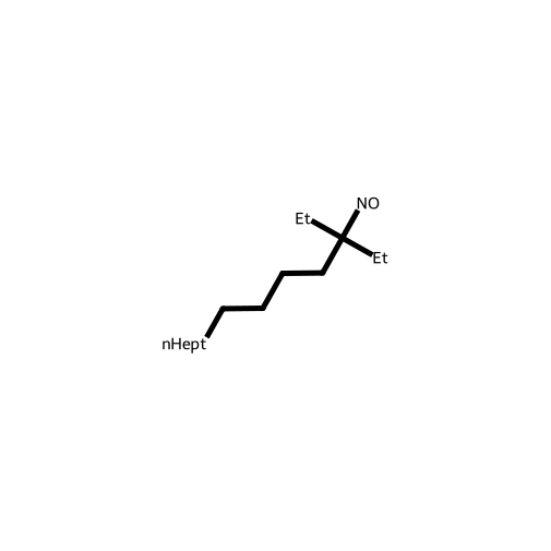 CCCCCCCCCCCC(CC)(CC)N=O